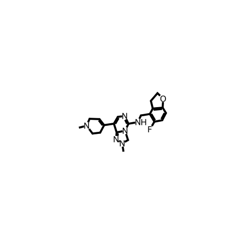 CN1CC=C(C2=CN=C(NCc3c(F)ccc4c3CCO4)N3CN(C)N=C23)CC1